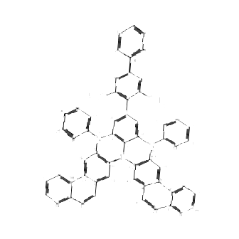 Cc1cc(-c2ccccc2)cc(C)c1-c1cc2c3c(c1)N(c1ccccc1)c1cc4c(ccc5ccccc54)cc1B3c1cc3ccc4ccccc4c3cc1N2c1ccccc1